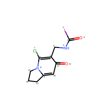 O=C(I)NCc1c(Cl)n2c(cc1=O)CCC2